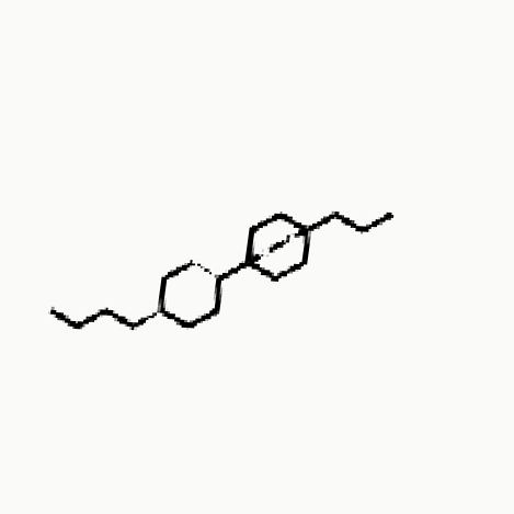 CCCC[C@H]1CC[C@H](C23CCC(CCC)(CC2)CC3)CC1